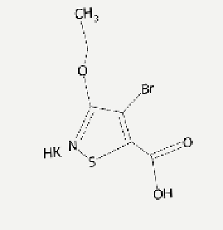 CCOc1nsc(C(=O)O)c1Br.[KH]